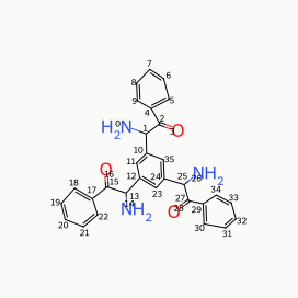 NC(C(=O)c1ccccc1)c1cc(C(N)C(=O)c2ccccc2)cc(C(N)C(=O)c2ccccc2)c1